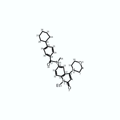 CCn1c(=O)cc(N2CCOCC2)c2cc(N(C)C(=O)c3ccc(C4CCCCC4)cc3)ccc21